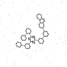 c1ccc(-c2cccc(-c3nc(-c4cccc(-c5cccc(-c6ccc7c(c6)sc6ccccc67)c5)c4)nc(-c4ccccc4-c4ccccc4)n3)c2)cc1